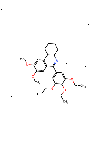 CCOc1cc(C2=NC3CCCCC3c3cc(OC)c(OC)cc32)cc(OCC)c1OCC